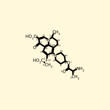 CC(=O)O.CC(N)C(=O)OC1CCN(c2c(F)cc3c(=O)c(C(=O)O)cn4c3c2CCC4C)CC1